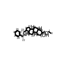 CCOC[C@@]1(O)CC[C@@H]2C3CC[C@@]4(C)C(CCC4[C@@H](C)N[C@H](C)c4ccccc4)[C@@H]3CC[C@@H]2C1